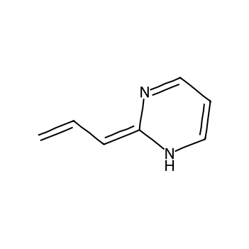 C=CC=C1N=CC=CN1